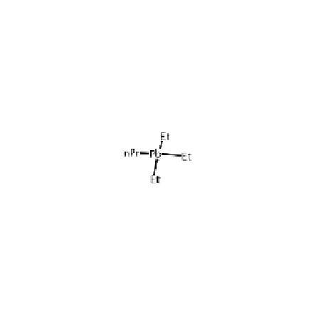 CC[CH2][Pb]([CH2]C)([CH2]C)[CH2]C